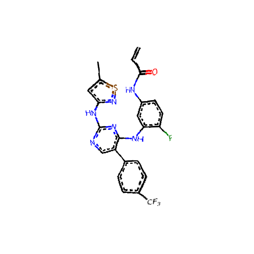 C=CC(=O)Nc1ccc(F)c(Nc2nc(Nc3cc(C)sn3)ncc2-c2ccc(C(F)(F)F)cc2)c1